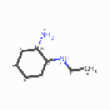 CCNC1CCCC[C@@H]1N